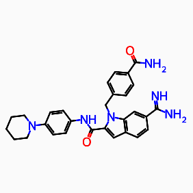 N=C(N)c1ccc2cc(C(=O)Nc3ccc(N4CCCCC4)cc3)n(Cc3ccc(C(N)=O)cc3)c2c1